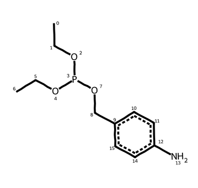 CCOP(OCC)OCc1ccc(N)cc1